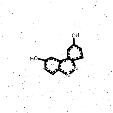 Oc1ccc2nnc3ccc(O)cc3c2c1